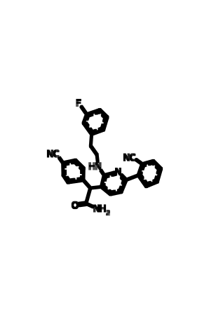 N#Cc1ccc(C(C(N)=O)c2ccc(-c3ccccc3C#N)nc2NCCc2cccc(F)c2)cc1